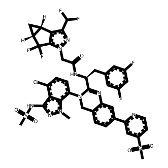 Cn1nc(NS(C)(=O)=O)c2c(Cl)ccc(N3Cc4ccc(-c5cc(S(C)(=O)=O)ccn5)cc4N=C3[C@H](Cc3cc(F)cc(F)c3)NC(=O)Cn3nc(C(F)F)c4c3C(F)(F)[C@@H]3C[C@H]43)c21